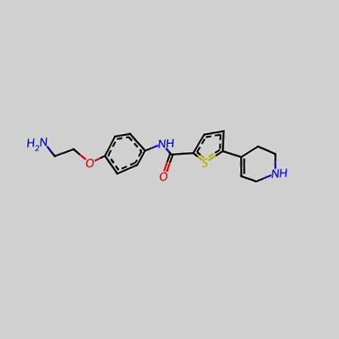 NCCOc1ccc(NC(=O)c2ccc(C3=CCNCC3)s2)cc1